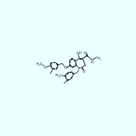 CNC(=O)C1=C(O)c2ccc(OCc3ccc(OC)c(F)c3)cc2N(Cc2ccc(C)c(F)c2)C(=O)C1